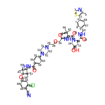 Cc1ncsc1-c1ccc(CNC(=O)[C@@H]2C[C@@H](O)CN2C(=O)[C@@H](NC(=O)COCCN2CCN(c3ccc(C(=O)N[C@H]4C(C)(C)[C@H](Oc5ccc(C#N)c(Cl)c5)C4(C)C)cc3)CC2)C(C)(C)C)cc1